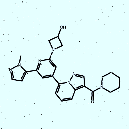 Cn1nccc1-c1cc(-c2cccc3c(C(=O)N4CCCCC4)cnn23)cc(N2CC(O)C2)n1